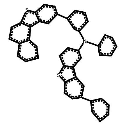 c1ccc(-c2ccc3sc4ccc(N(c5ccccc5)c5cccc(-c6ccc7sc8ccc9ccccc9c8c7c6)c5)cc4c3c2)cc1